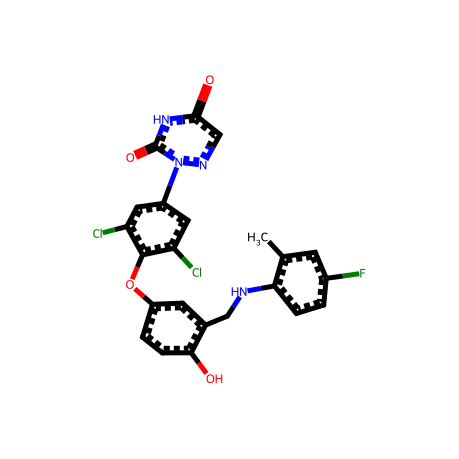 Cc1cc(F)ccc1NCc1cc(Oc2c(Cl)cc(-n3ncc(=O)[nH]c3=O)cc2Cl)ccc1O